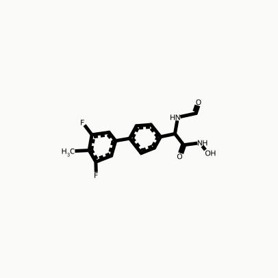 Cc1c(F)cc(-c2ccc(C(NC=O)C(=O)NO)cc2)cc1F